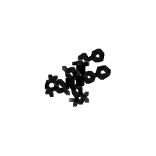 Cc1cc2c3c(c1)N(c1cc4c(cc1C)C(C)(C)CCC4(C)C)c1cc4c(cc1B3c1ccc(-c3ccccc3)cc1N2c1cc(-c2ccccc2)ccc1C)C(C)(C)CC4(C)C